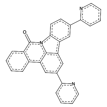 O=c1c2ccccc2c2cc(-c3ccccn3)cc3c4cc(-c5ccccn5)ccc4n1c23